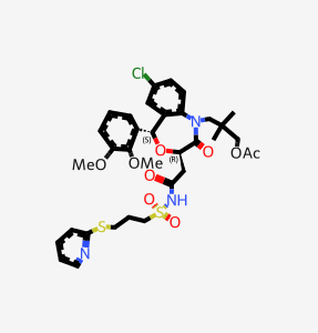 COc1cccc([C@H]2O[C@H](CC(=O)NS(=O)(=O)CCCSc3ccccn3)C(=O)N(CC(C)(C)COC(C)=O)c3ccc(Cl)cc32)c1OC